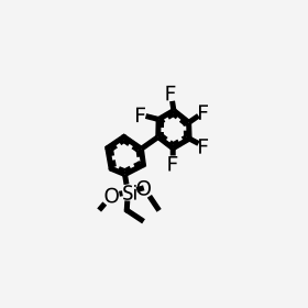 CC[Si](OC)(OC)c1cccc(-c2c(F)c(F)c(F)c(F)c2F)c1